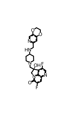 O=c1c(F)cc2ncc(F)c3c2n1C[C@]3(O)CN1CCC(NCc2cc3c(cn2)OCCO3)CC1